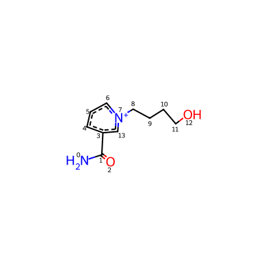 NC(=O)c1ccc[n+](CCCCO)c1